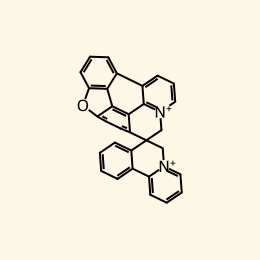 c1ccc2c(c1)-c1cccc[n+]1CC21C[n+]2cccc3c4cccc5oc6ccc1c(c6c54)c32